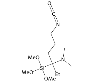 CCC(CCCN=C=O)(N(C)C)[Si](OC)(OC)OC